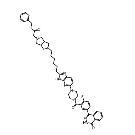 O=C(CN1CC2CN(CCCCCCc3nc4ccc(N5CCN(C(=O)c6cc(-c7n[nH]c(=O)c8ccccc78)ccc6F)CC5)nc4[nH]3)CC2C1)OCc1ccccc1